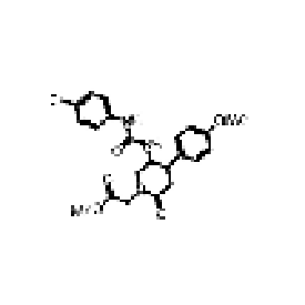 COC(=O)CN1CC(NC(=O)Nc2ccc(Cl)cc2)C(c2ccc(OC)cc2)CC1=O